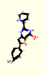 Cc1ccc(-c2cc3nc(-c4ccccn4)nc(O)c3s2)cc1